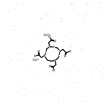 O=C([O-])CN1CCN(CC(=O)[O-])CCN(CC(=O)[O-])CCN(CC(=O)[O-])CC1.[Cu+2].[Cu+2]